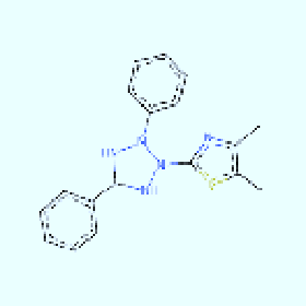 Cc1nc(N2NC(c3ccccc3)NN2c2ccccc2)sc1C